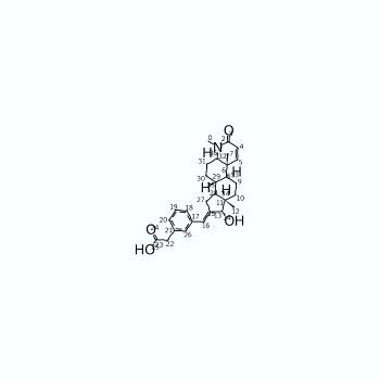 CN1C(=O)C=C[C@]2(C)[C@H]3CC[C@]4(C)[C@@H](O)C(=Cc5cccc(CC(=O)O)c5)C[C@H]4[C@@H]3CC[C@@H]12